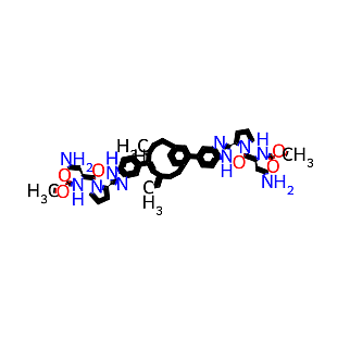 C/C=C1\C=C(\c2ccc3[nH]c([C@@H]4CCCN4C(=O)[C@H](CCN)NC(=O)OC)nc3c2)[C@H](C)CCc2ccc(c(-c3ccc4[nH]c([C@@H]5CCCN5C(=O)[C@H](CCN)NC(=O)OC)nc4c3)c2)CC1